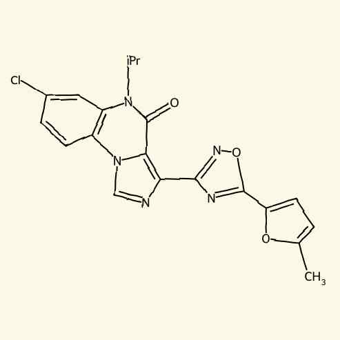 Cc1ccc(-c2nc(-c3ncn4c3c(=O)n(C(C)C)c3cc(Cl)ccc34)no2)o1